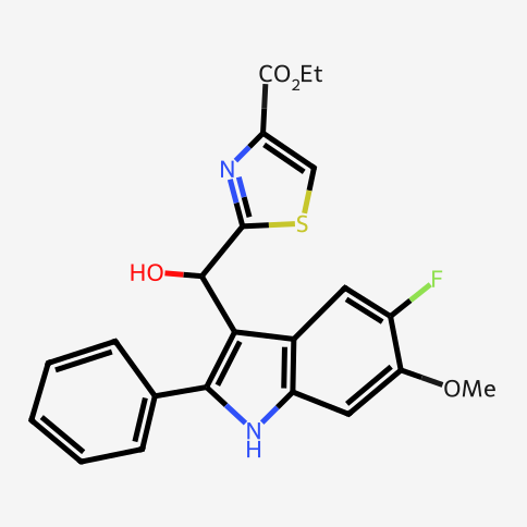 CCOC(=O)c1csc(C(O)c2c(-c3ccccc3)[nH]c3cc(OC)c(F)cc23)n1